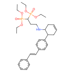 CCOP(=O)(OCC)C(CCNC1CC=CCC1c1ccc(C=Cc2ccccc2)cc1)P(=O)(OCC)OCC